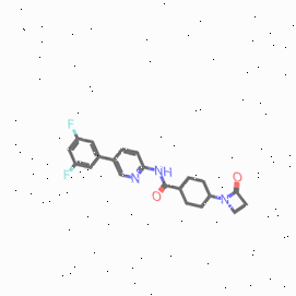 O=C(Nc1ccc(-c2cc(F)cc(F)c2)cn1)C1CCC(N2CCC2=O)CC1